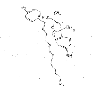 CC(C)(C)CC(C)(C)c1ccc(O)cc1.CCCCCCCCCCCCc1ccc(O)cc1